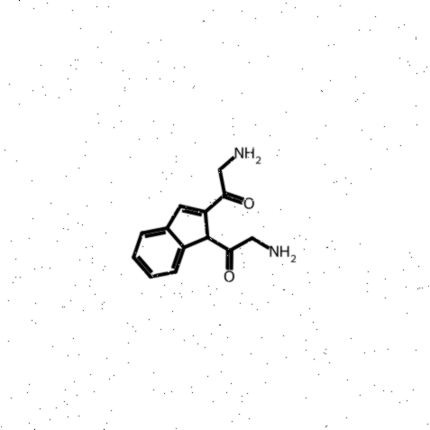 NCC(=O)C1=Cc2ccccc2C1C(=O)CN